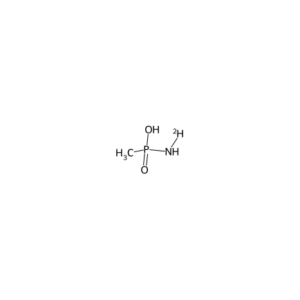 [2H]NP(C)(=O)O